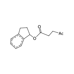 CC(=O)CCC(=O)OC1CCc2ccccc21